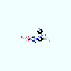 C[C@H]1CN(C(=O)OC(C)(C)C)CCN1c1ccc([N+](=O)[O-])c(Nc2ccncc2)n1